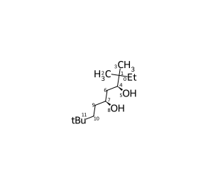 CCC(C)(C)[C@@H](O)C[C@@H](O)CCC(C)(C)C